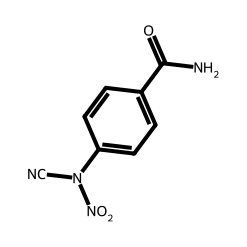 N#CN(c1ccc(C(N)=O)cc1)[N+](=O)[O-]